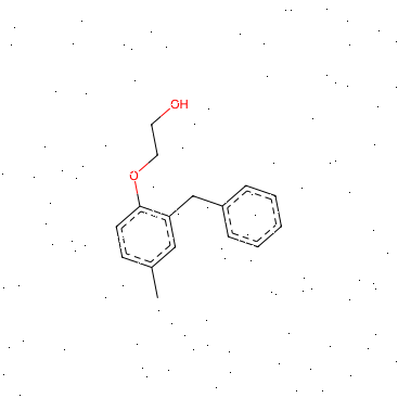 Cc1ccc(OCCO)c(Cc2ccccc2)c1